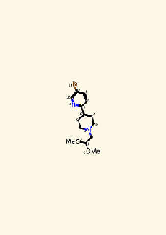 COC(CN1CCC(c2ccc(Br)cn2)CC1)OC